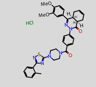 COc1ccc(C2=NN(c3ccc(C(=O)N4CCN(c5nc(-c6ccccc6C)ns5)CC4)cc3)C(=O)[C@@H]3CC=CC[C@H]23)cc1OC.Cl